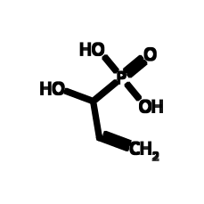 C=CC(O)P(=O)(O)O